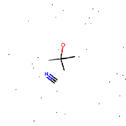 C#N.CC(C)(C)[O]